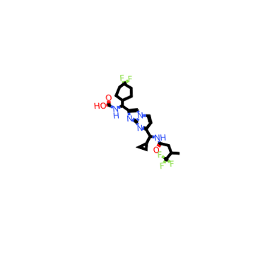 CC(CC(=O)NC(c1ccn2cc(C(NC(=O)O)C3CCC(F)(F)CC3)nc2n1)C1CC1)C(F)(F)F